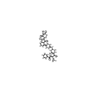 O=C1CCC(N2C(=O)c3cccc(N4CCN(CC5CCN(C(=O)C(NC(=O)c6ccccc6)C6CC6)CC5)CC4)c3C2=O)C(=O)N1